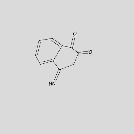 N=C1CC(=O)C(=O)c2ccccc21